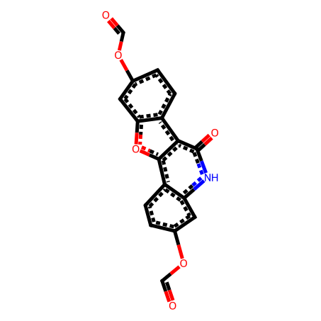 O=COc1ccc2c(c1)[nH]c(=O)c1c3ccc(OC=O)cc3oc21